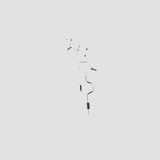 CC#Cc1ccc(N2CC(CC(C)(C(=O)NO)S(C)(=O)=O)OC2=O)nc1